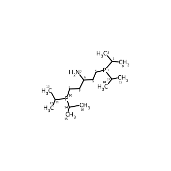 CC(C)P(CCC(N)CCP(C(C)C)C(C)C)C(C)C